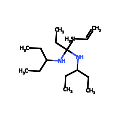 C=C[SiH2]C(CC)(NC(CC)CC)NC(CC)CC